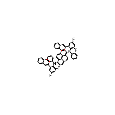 Fc1cc(F)c(N(c2ccccc2)c2ccc3ccc4c(N(c5ccccc5)c5c(F)cc(F)cc5-c5ccc6ccccc6c5)ccc5ccc2c3c54)c(-c2ccc3ccccc3c2)c1